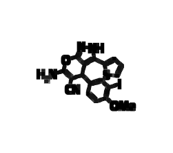 COc1ccc(C2C(C#N)=C(N)Oc3n[nH]c(-c4cccs4)c32)cc1I